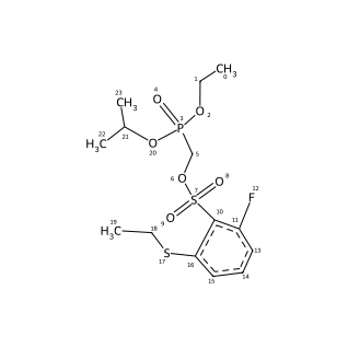 CCOP(=O)(COS(=O)(=O)c1c(F)cccc1SCC)OC(C)C